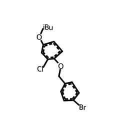 CCC(C)Oc1ccc(OCc2ccc(Br)cc2)c(Cl)c1